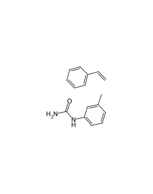 C=Cc1ccccc1.Cc1cccc(NC(N)=O)c1